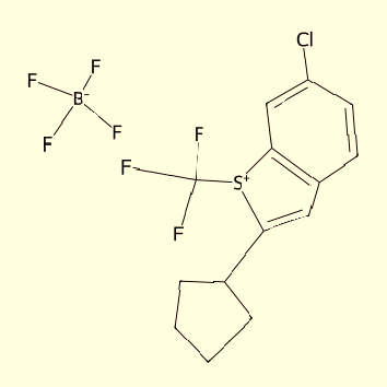 FC(F)(F)[s+]1c(C2CCCC2)cc2ccc(Cl)cc21.F[B-](F)(F)F